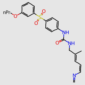 C=N/C=C\C=C(/C)CNC(=O)Nc1ccc(S(=O)(=O)c2cccc(OCCC)c2)cc1